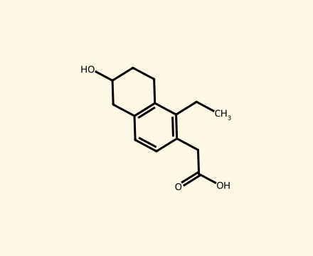 CCc1c(CC(=O)O)ccc2c1CCC(O)C2